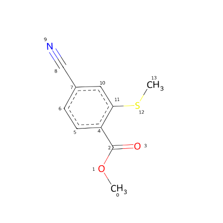 COC(=O)c1ccc(C#N)cc1SC